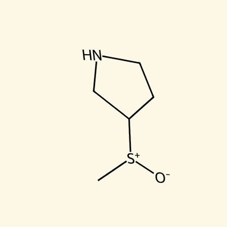 C[S+]([O-])C1CCNC1